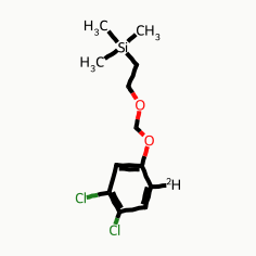 [2H]c1cc(Cl)c(Cl)cc1OCOCC[Si](C)(C)C